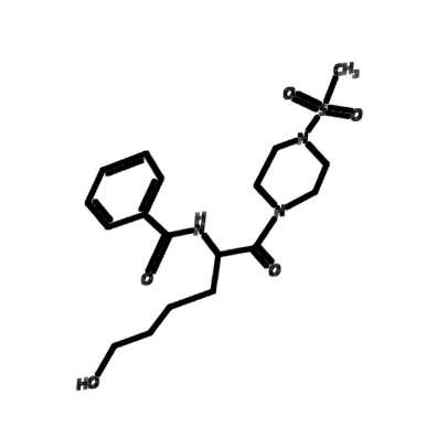 CS(=O)(=O)N1CCN(C(=O)C(CCCCO)NC(=O)c2ccccc2)CC1